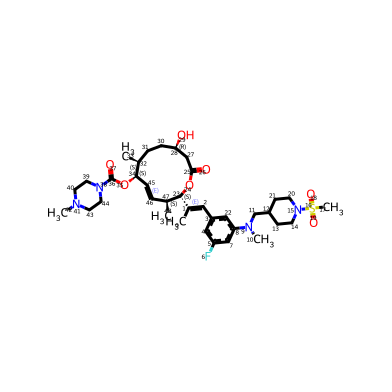 C/C(=C\c1cc(F)cc(N(C)CC2CCN(S(C)(=O)=O)CC2)c1)[C@H]1OC(=O)C[C@H](O)CC[C@H](C)[C@H](OC(=O)N2CCN(C)CC2)/C=C/[C@@H]1C